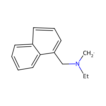 [CH2]N(CC)Cc1cccc2ccccc12